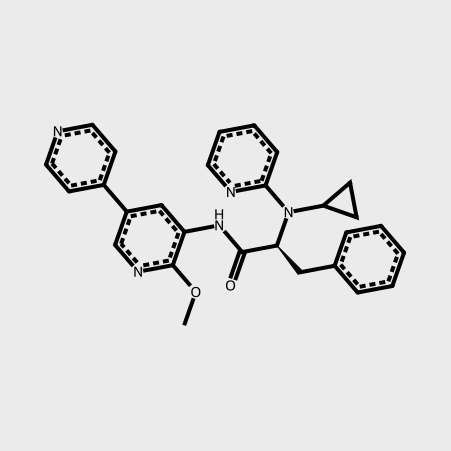 COc1ncc(-c2ccncc2)cc1NC(=O)[C@H](Cc1ccccc1)N(c1ccccn1)C1CC1